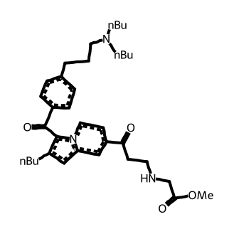 CCCCc1cc2cc(C(=O)CCNCC(=O)OC)ccn2c1C(=O)c1ccc(CCCN(CCCC)CCCC)cc1